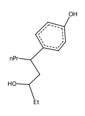 CCCC(CC(O)CC)c1ccc(O)cc1